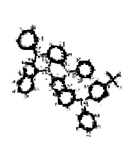 CC(C)(C)c1ccc(N(c2ccccc2)c2ccc3sc4c(c3c2)N(c2ccccc2)c2cccc3c2B4c2c(sc4ccccc24)N3c2ccccc2)cc1